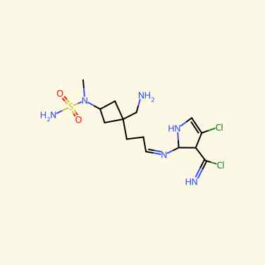 CN(C1CC(CN)(CC/C=N\C2NC=C(Cl)C2C(=N)Cl)C1)S(N)(=O)=O